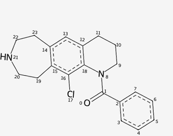 O=C(c1ccccc1)N1CCCc2cc3c(c(Cl)c21)CCNCC3